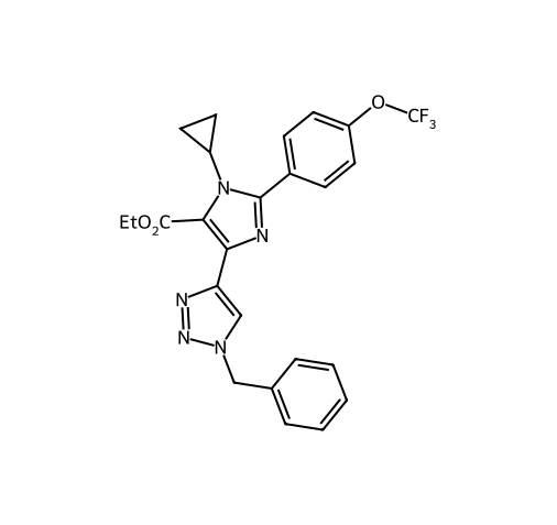 CCOC(=O)c1c(-c2cn(Cc3ccccc3)nn2)nc(-c2ccc(OC(F)(F)F)cc2)n1C1CC1